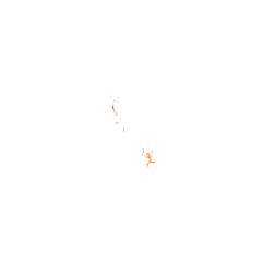 Cc1ccc(S(=O)(=O)OCCCCCCCCOc2ccc(C(=O)Oc3cc[c]cc3)cc2)cc1